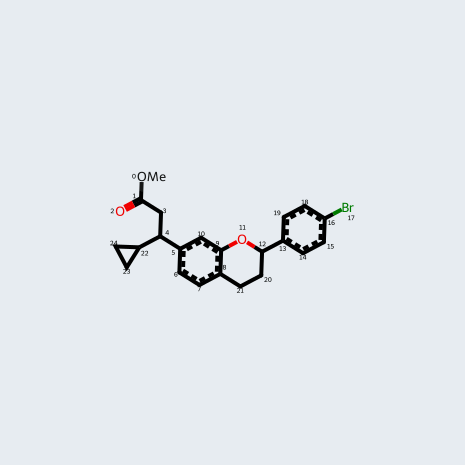 COC(=O)CC(c1ccc2c(c1)OC(c1ccc(Br)cc1)CC2)C1CC1